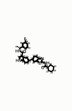 C[C@H](NC(=O)c1c[nH]c2ccc(-c3ccc4nc(NC(=O)C5CCCCC5)sc4c3)cc12)c1cccc(F)c1